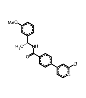 COc1cccc([C@@H](C)NC(=O)c2ccc(-c3ccnc(Cl)c3)cc2)c1